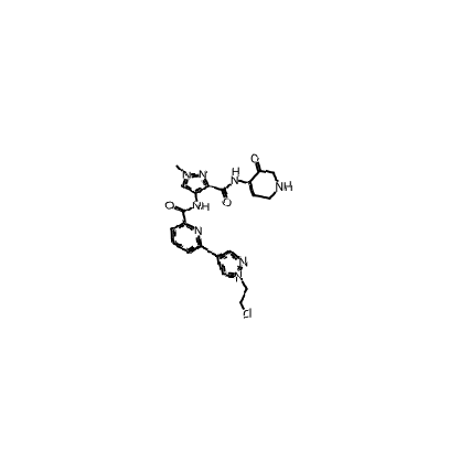 Cn1cc(NC(=O)c2cccc(-c3cnn(CCCl)c3)n2)c(C(=O)NC2CCNCC2=O)n1